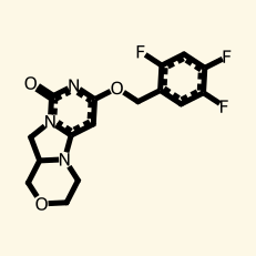 O=c1nc(OCc2cc(F)c(F)cc2F)cc2n1CC1COCCN21